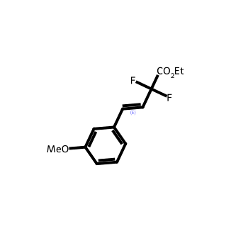 CCOC(=O)C(F)(F)/C=C/c1cccc(OC)c1